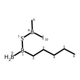 BB(CCCCC)SB(C)I